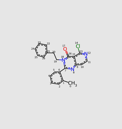 Cc1ccccc1-c1nc2ccnc(Cl)c2c(=O)n1CCc1ccccc1